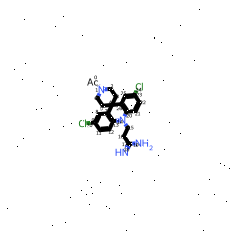 CC(=O)N1CCC2(CC1)c1cc(Cl)ccc1N(CCC(=N)N)c1ccc(Cl)cc12